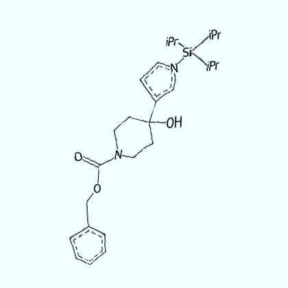 CC(C)[Si](C(C)C)(C(C)C)n1ccc(C2(O)CCN(C(=O)OCc3ccccc3)CC2)c1